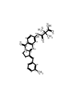 Cc1cccc(C=C2CCn3c2nc2cc(NC(=O)C(C)(C)C(=O)O)ccc2c3=O)c1